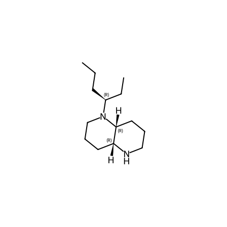 CCC[C@@H](CC)N1CCC[C@H]2NCCC[C@H]21